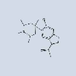 CC(=O)N1CCc2cc3c(cc21)C1(CO3)CC(C)N(C)C(C)C1